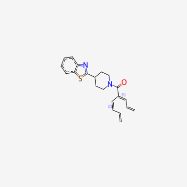 C=C/C=C\C(=C/C=C)C(=O)N1CCC(c2nc3ccccc3s2)CC1